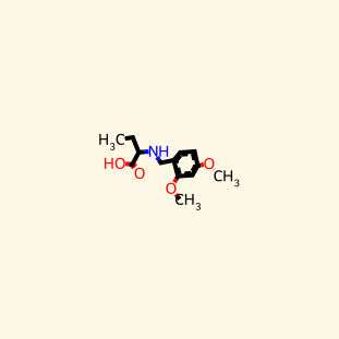 CCC(NCc1ccc(OC)cc1OC)C(=O)O